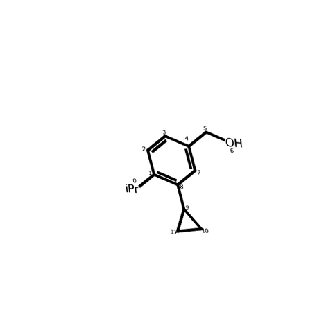 CC(C)c1ccc(CO)cc1C1CC1